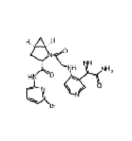 N=C(C(N)=O)c1cnccc1NCC(=O)N1[C@@H]2C[C@@H]2C[C@H]1C(=O)Nc1cccc(Br)n1